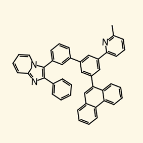 Cc1cccc(-c2cc(-c3cccc(-c4c(-c5ccccc5)nc5ccccn45)c3)cc(-c3cc4ccccc4c4ccccc34)c2)n1